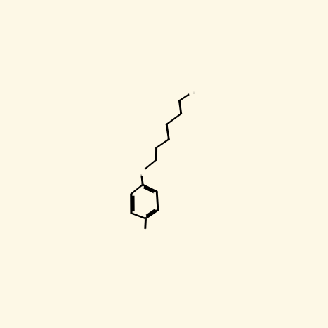 FC(F)(F)c1ccc(OCCCCCCBr)cc1